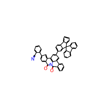 N#Cc1ccccc1-c1ccc2c(=O)n3c(=O)c4ccccc4c4cc(-c5ccc6c(c5)C5(c7ccccc7-c7ccccc75)c5ccccc5-6)cc(c2c1)c43